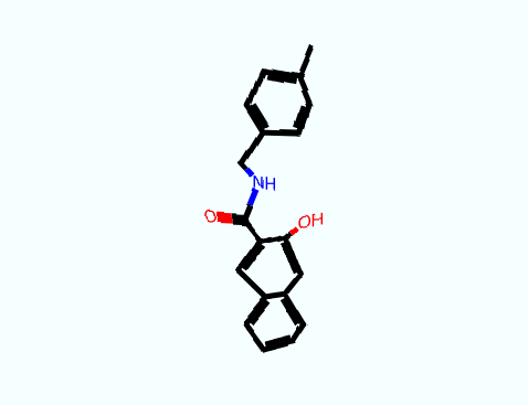 Cc1ccc(CNC(=O)c2cc3ccccc3cc2O)cc1